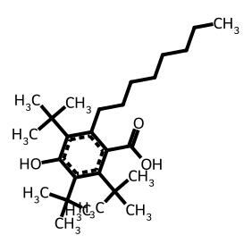 CCCCCCCCc1c(C(=O)O)c(C(C)(C)C)c(C(C)(C)C)c(O)c1C(C)(C)C